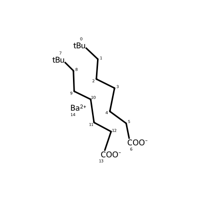 CC(C)(C)CCCCCC(=O)[O-].CC(C)(C)CCCCCC(=O)[O-].[Ba+2]